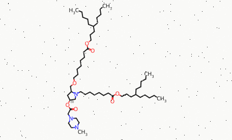 CCCCCC(CCCCC)CCCOC(=O)CCCCCCCOCC1C[C@H](OC(=O)CN2CCN(C)CC2)CN1CCCCCCCC(=O)OCCCC(CCCCC)CCCCC